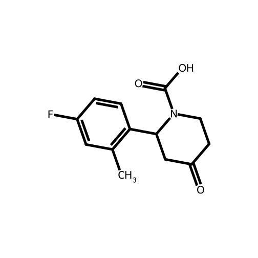 Cc1cc(F)ccc1C1CC(=O)CCN1C(=O)O